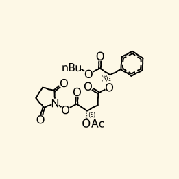 CCCCOC(=O)[C@@H](OC(=O)C[C@H](OC(C)=O)C(=O)ON1C(=O)CCC1=O)c1ccccc1